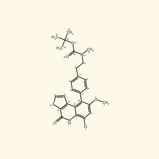 COc1cc(Cl)c2[nH]c(=O)c3sccc3c2c1-c1ccc(CCN(C)C(=O)OC(C)(C)C)cc1